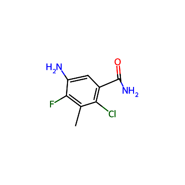 Cc1c(F)c(N)cc(C(N)=O)c1Cl